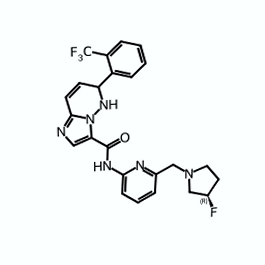 O=C(Nc1cccc(CN2CC[C@@H](F)C2)n1)c1cnc2n1NC(c1ccccc1C(F)(F)F)C=C2